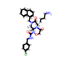 C[C@H]1[C@@H]2N(C(=O)NCc3ccc(Cl)cc3)OCC(=O)N2[C@@H](CCCCN)C(=O)N1Cc1cccc2ccccc12